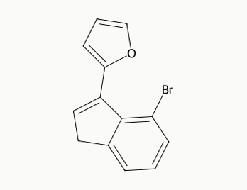 Brc1cccc2c1C(c1ccco1)=CC2